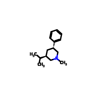 CC(C)[C@H]1C[C@H](c2ccccc2)CN(C)C1